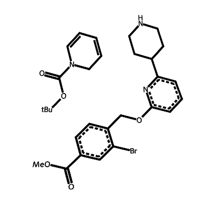 CC(C)(C)OC(=O)N1C=CC=CC1.COC(=O)c1ccc(COc2cccc(C3CCNCC3)n2)c(Br)c1